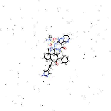 CCNS(=O)(=O)Nc1nn2cccnc2c1C(=O)N[C@H](C)C1=C2CNCC3=C2C(=C(C#Cc2cnn(C)c2)C(=O)[C@@H]1c1ccccc1)C=CC3